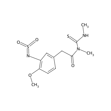 CNC(=S)N(C)C(=O)Cc1ccc(OC)c(N=S(=O)=O)c1